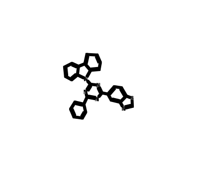 c1ccc(-c2nc(-c3ccc4scnc4c3)nc(-n3c4ccccc4c4ccccc43)n2)cc1